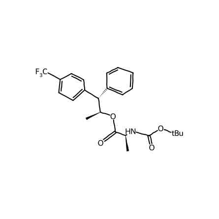 C[C@H](NC(=O)OC(C)(C)C)C(=O)O[C@@H](C)[C@@H](c1ccccc1)c1ccc(C(F)(F)F)cc1